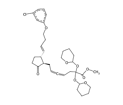 COC(=O)C(CC=C=CC[C@H]1C(=O)CC[C@@H]1/C=C/CCOc1cccc(Cl)c1)(OC1CCCCO1)OC1CCCCO1